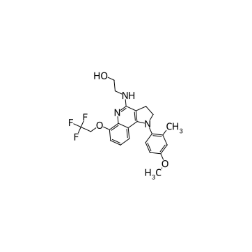 COc1ccc(N2CCc3c(NCCO)nc4c(OCC(F)(F)F)cccc4c32)c(C)c1